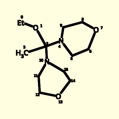 CCOC(C)(N1CCOCC1)N1CCOCC1